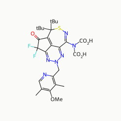 COc1c(C)cnc(CN2N=C3C(N(C(=O)O)C(=O)O)=NSC(C(C)(C)C)(C(C)(C)C)C4=C3C(=N2)C(F)(F)C4=O)c1C